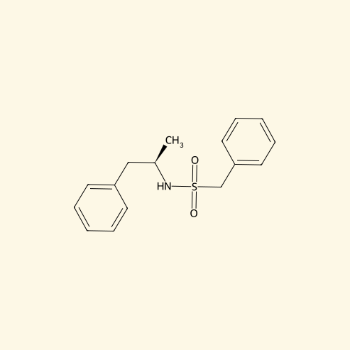 C[C@H](Cc1ccccc1)NS(=O)(=O)Cc1ccccc1